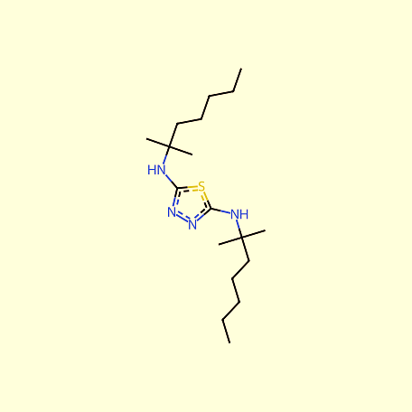 CCCCCC(C)(C)Nc1nnc(NC(C)(C)CCCCC)s1